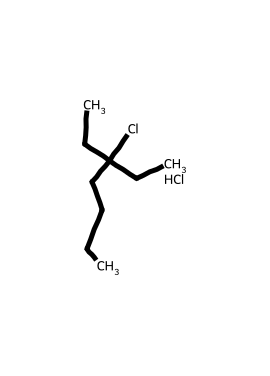 CCCCC(Cl)(CC)CC.Cl